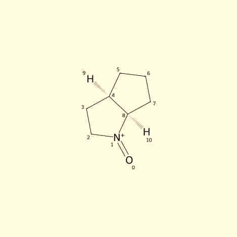 O=[N+]1CC[C@H]2CCC[C@H]21